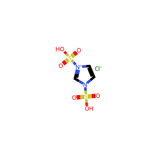 O=S(=O)(O)n1cc[n+](S(=O)(=O)O)c1.[Cl-]